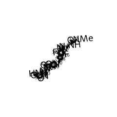 CNCC(=O)NCCn1nnc2c(F)c3c(c(F)c21)CC(CN1CCC2(CC1)CN(c1cnc4c(n1)NC(=O)CO4)C(=O)O2)C3